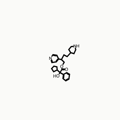 O=C(OCC(CCC1CCNCC1)c1ccncc1)C(O)(c1ccccc1)C1CCCC1